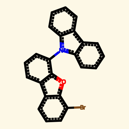 Brc1cccc2c1oc1c(-n3c4ccccc4c4ccccc43)cccc12